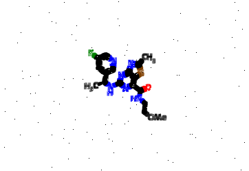 COCCNC(=O)c1nc(N[C@@H](C)c2cncc(F)c2)nc2nc(C)sc12